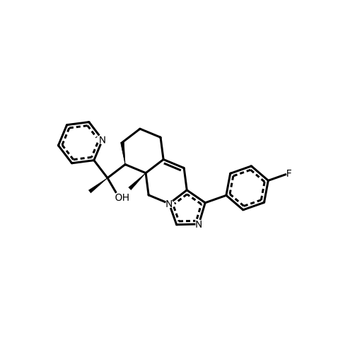 C[C@]12Cn3cnc(-c4ccc(F)cc4)c3C=C1CCC[C@@H]2[C@](C)(O)c1ccccn1